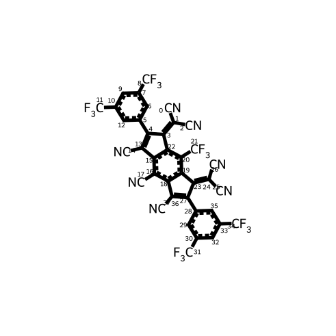 N#CC(C#N)=C1C(c2cc(C(F)(F)F)cc(C(F)(F)F)c2)=C(C#N)c2c(C#N)c3c(c(C(F)(F)F)c21)C(=C(C#N)C#N)C(c1cc(C(F)(F)F)cc(C(F)(F)F)c1)=C3C#N